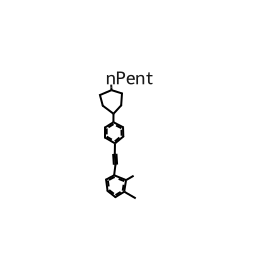 CCCCCC1CCC(c2ccc(C#Cc3cccc(C)c3C)cc2)CC1